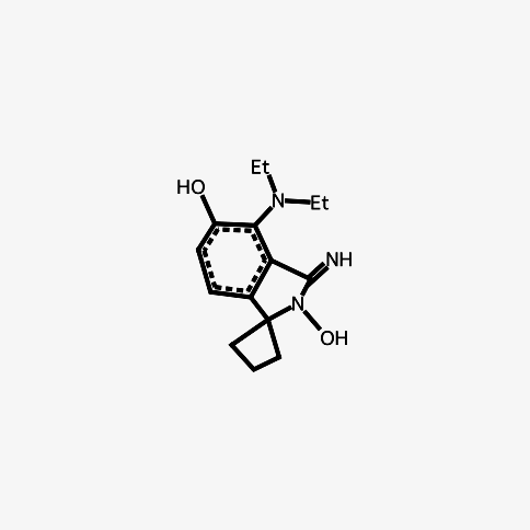 CCN(CC)c1c(O)ccc2c1C(=N)N(O)C21CCC1